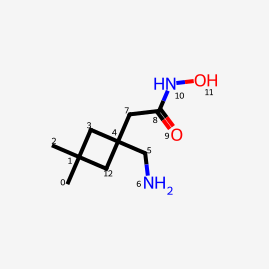 CC1(C)CC(CN)(CC(=O)NO)C1